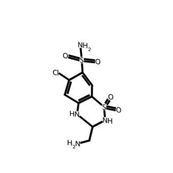 NCC1Nc2cc(Cl)c(S(N)(=O)=O)cc2S(=O)(=O)N1